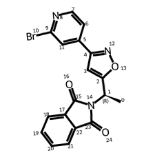 C[C@H](c1cc(-c2ccnc(Br)c2)no1)N1C(=O)c2ccccc2C1=O